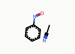 CC#N.O=Nc1ccccc1